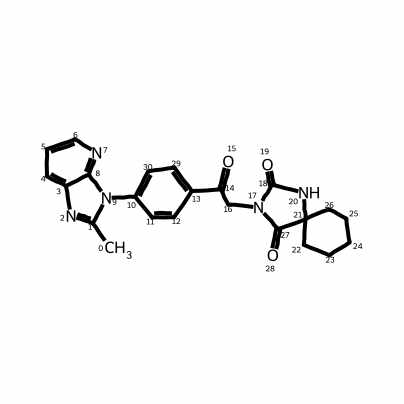 Cc1nc2cccnc2n1-c1ccc(C(=O)CN2C(=O)NC3(CCCCC3)C2=O)cc1